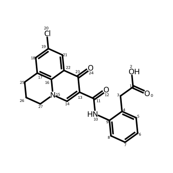 O=C(O)Cc1ccccc1NC(=O)c1cn2c3c(cc(Cl)cc3c1=O)CCC2